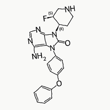 Nc1ncnc2c1n(-c1ccc(Oc3ccccc3)cc1)c(=O)n2[C@@H]1CCNC[C@@H]1F